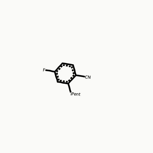 CCCC(C)c1cc(F)ccc1C#N